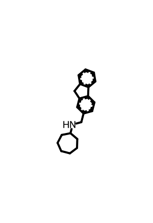 c1ccc2c(c1)Cc1cc(CNC3CCCCCC3)ccc1-2